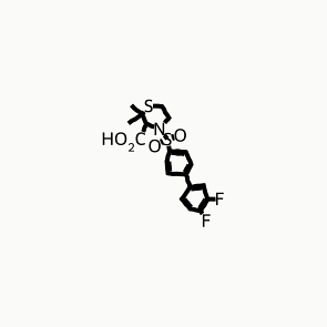 CC1(C)SCCN(S(=O)(=O)c2ccc(-c3ccc(F)c(F)c3)cc2)C1C(=O)O